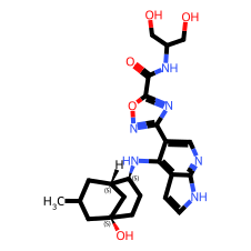 CC1C[C@H]2C[C@](O)(CC[C@@H]2Nc2c(-c3noc(C(=O)NC(CO)CO)n3)cnc3[nH]ccc23)C1